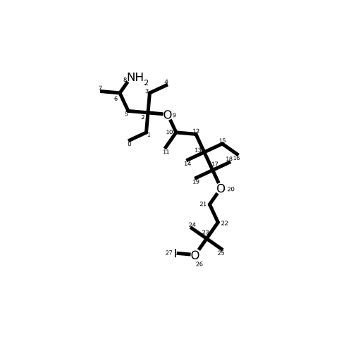 CCC(CC)(CC(C)N)OC(C)CC(C)(CC)C(C)(C)OCCC(C)(C)OI